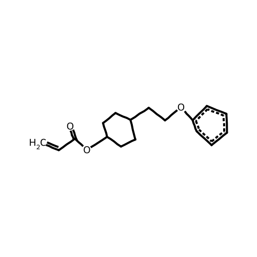 C=CC(=O)OC1CCC(CCOc2ccccc2)CC1